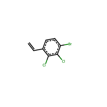 C=Cc1ccc(Br)c(Cl)c1Cl